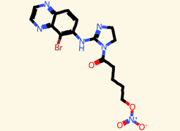 O=C(CCCCO[N+](=O)[O-])N1CCN=C1Nc1ccc2nccnc2c1Br